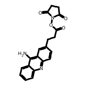 Nc1c2ccccc2nc2ccc(CCC(=O)ON3C(=O)CCC3=O)cc12